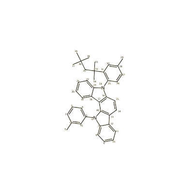 Cc1cccc(-n2c3ccccc3c3ccc4c(c5ccccc5n4-c4ccc(C)cc4C(C)(C)CC(C)(C)C)c32)c1